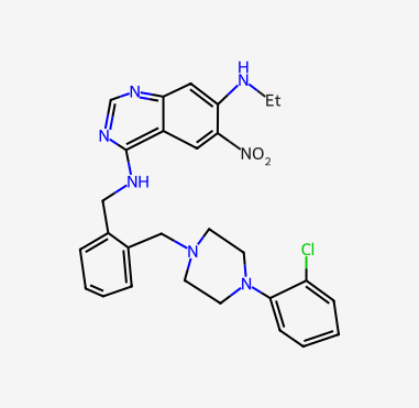 CCNc1cc2ncnc(NCc3ccccc3CN3CCN(c4ccccc4Cl)CC3)c2cc1[N+](=O)[O-]